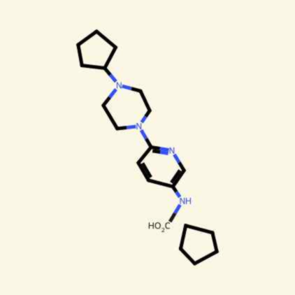 C1CCCC1.O=C(O)Nc1ccc(N2CCN(C3CCCC3)CC2)nc1